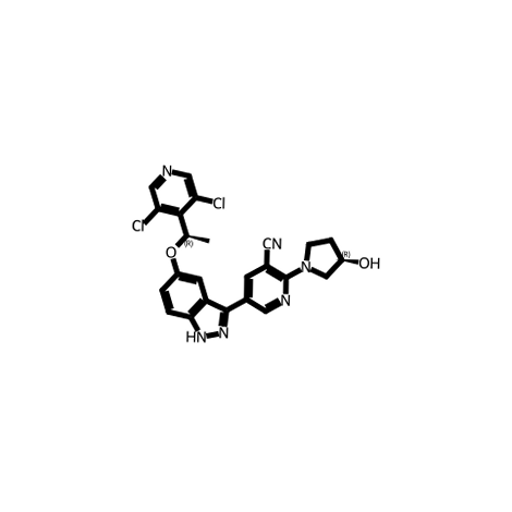 C[C@@H](Oc1ccc2[nH]nc(-c3cnc(N4CC[C@@H](O)C4)c(C#N)c3)c2c1)c1c(Cl)cncc1Cl